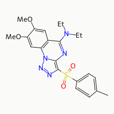 CCN(CC)c1nc2c(S(=O)(=O)c3ccc(C)cc3)nnn2c2cc(OC)c(OC)cc12